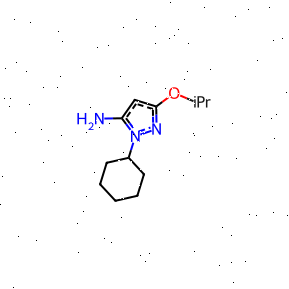 CC(C)Oc1cc(N)n(C2CCCCC2)n1